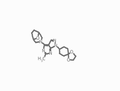 Cc1nc(N2CC3CCC(C2)O3)c2cnn(C3CCC4(CC3)OCCO4)c2n1